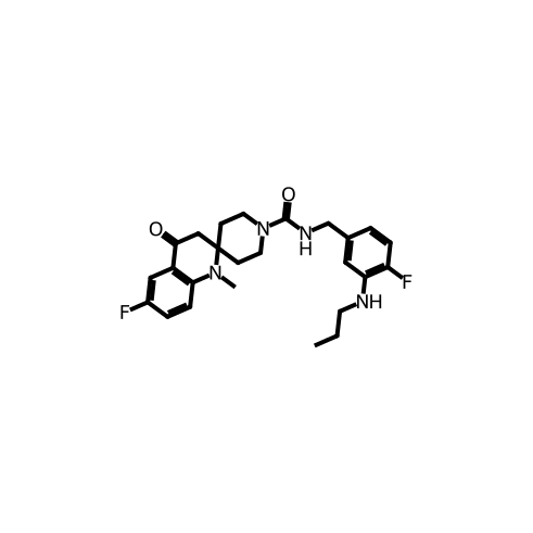 CCCNc1cc(CNC(=O)N2CCC3(CC2)CC(=O)c2cc(F)ccc2N3C)ccc1F